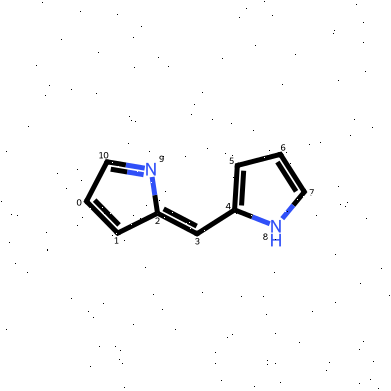 C1=C/C(=C/c2ccc[nH]2)N=C1